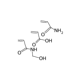 C=CC(=O)NCO.C=CC(=O)O.C=CC(N)=O